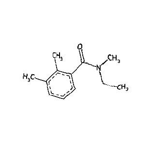 CCN(C)C(=O)c1cccc(C)c1C